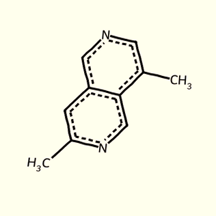 Cc1cc2cncc(C)c2cn1